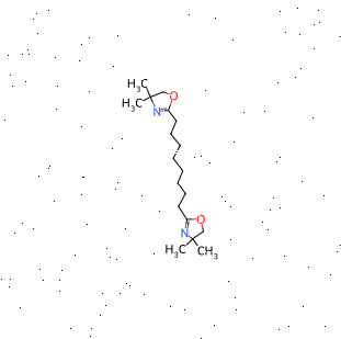 CC1(C)COC(CCCCCCCCC2=NC(C)(C)CO2)=N1